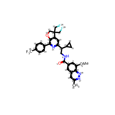 COc1cc(C(=O)NCC(c2cc3c(c(-c4ccc(C(F)(F)F)cc4)n2)OCC3(CF)CF)C2CC2)cc2cc(C)nnc12